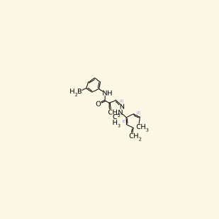 Bc1cccc(NC(=O)C(=C)/C=N\N(C)C(/C=C\C)=C/C=C)c1